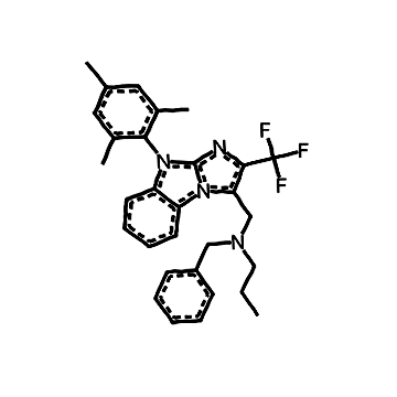 CCCN(Cc1ccccc1)Cc1c(C(F)(F)F)nc2n(-c3c(C)cc(C)cc3C)c3ccccc3n12